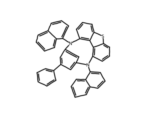 c1ccc(-c2cc3cc(c2)N(c2cccc4ccccc24)c2cccc4sc5cccc(c5c24)N3c2cccc3ccccc23)cc1